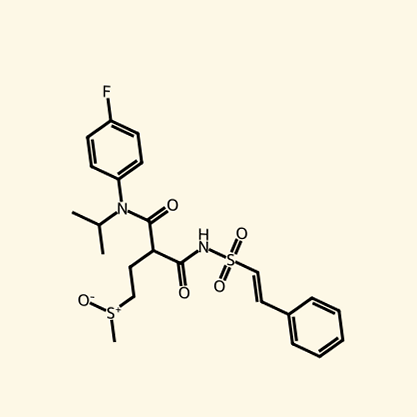 CC(C)N(C(=O)C(CC[S+](C)[O-])C(=O)NS(=O)(=O)/C=C/c1ccccc1)c1ccc(F)cc1